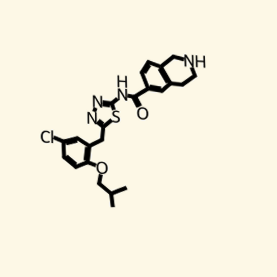 CC(C)COc1ccc(Cl)cc1Cc1nnc(NC(=O)c2ccc3c(c2)CCNC3)s1